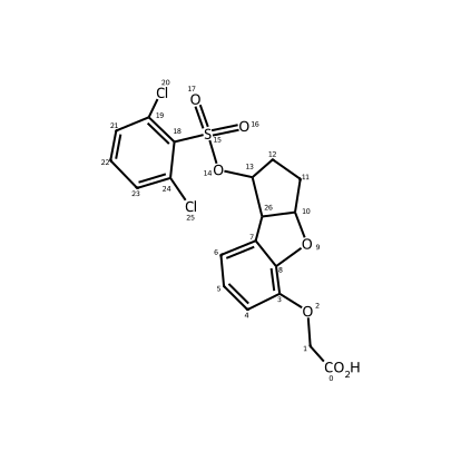 O=C(O)COc1cccc2c1OC1CCC(OS(=O)(=O)c3c(Cl)cccc3Cl)C21